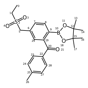 CCS(=O)(=O)Cc1ccc(B2OC(C)(C)C(C)(C)O2)c(C(=O)c2ccc(C)cc2)c1